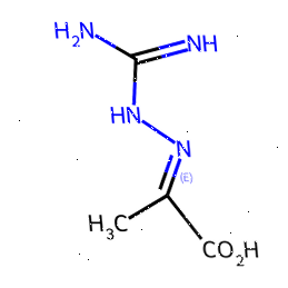 C/C(=N\NC(=N)N)C(=O)O